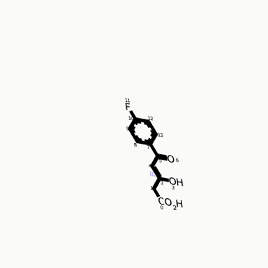 O=C(O)C/C(O)=C/C(=O)c1ccc(F)cc1